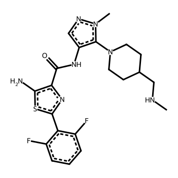 CNCC1CCN(c2c(NC(=O)c3nc(-c4c(F)cccc4F)sc3N)cnn2C)CC1